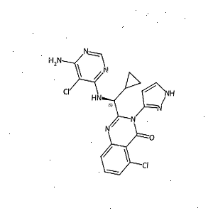 Nc1ncnc(N[C@H](c2nc3cccc(Cl)c3c(=O)n2-c2cc[nH]n2)C2CC2)c1Cl